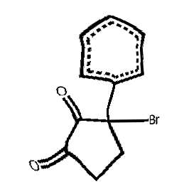 O=C1CCC(Br)(c2ccccc2)C1=O